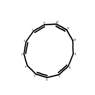 [C]1=CC=CCC=CC=CCCC=C1